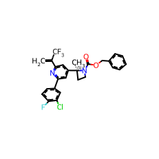 C=C(c1cc([C@]2(C)CCN2C(=O)OCc2ccccc2)cc(-c2ccc(F)c(Cl)c2)n1)C(F)(F)F